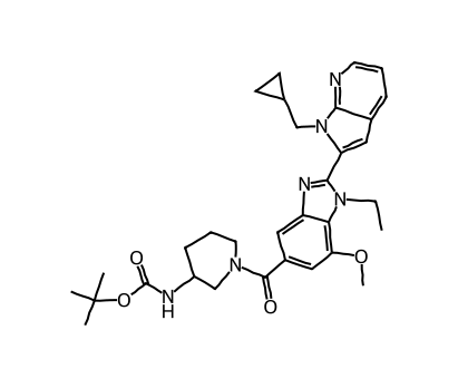 CCn1c(-c2cc3cccnc3n2CC2CC2)nc2cc(C(=O)N3CCCC(NC(=O)OC(C)(C)C)C3)cc(OC)c21